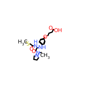 CCN(C(=O)C(NC(=O)CSC)Nc1ccc(OCCCC(=O)O)cc1)N1CCCC1